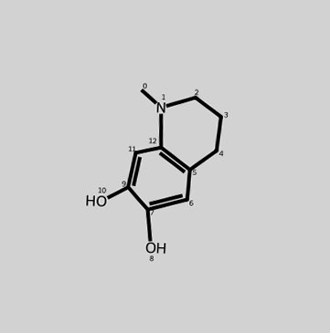 CN1CCCc2cc(O)c(O)cc21